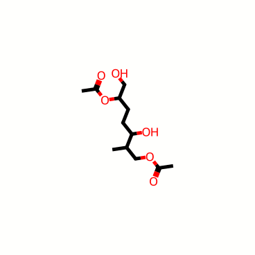 CC(=O)OCC(C)C(O)CCC(CO)OC(C)=O